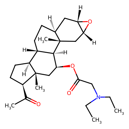 CCN(CC)CC(=O)O[C@H]1C[C@]2(C)[C@@H](C(C)=O)CC[C@H]2[C@@H]2CC[C@H]3C[C@@H]4O[C@@H]4C[C@]3(C)[C@H]21